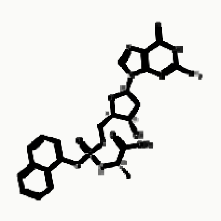 COC(=O)[C@H](C)NP(=O)(OC[C@H]1O[C@@H](n2cnc3c(=O)[nH]c(N)nc32)C[C@H]1O)Oc1cccc2ccccc12